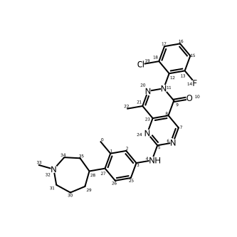 Cc1cc(Nc2ncc3c(=O)n(-c4c(F)cccc4Cl)nc(C)c3n2)ccc1C1CCCN(C)CC1